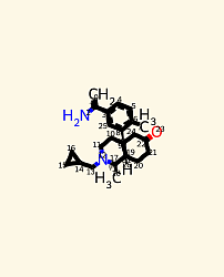 C=C(N)c1ccc(C)c([C@]23CCN(CC4CC4)[C@H](C)[C@@H]2CCC(=O)C3)c1